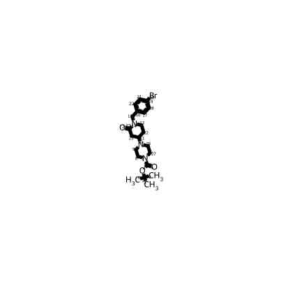 CC(C)(C)OC(=O)N1CCN(C2CCN(Cc3ccc(Br)cc3)C(=O)C2)CC1